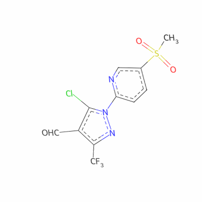 CS(=O)(=O)c1ccc(-n2nc(C(F)(F)F)c(C=O)c2Cl)nc1